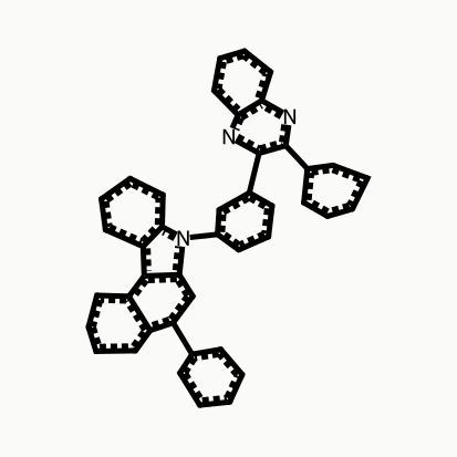 c1ccc(-c2nc3ccccc3nc2-c2cccc(-n3c4ccccc4c4c5ccccc5c(-c5ccccc5)cc43)c2)cc1